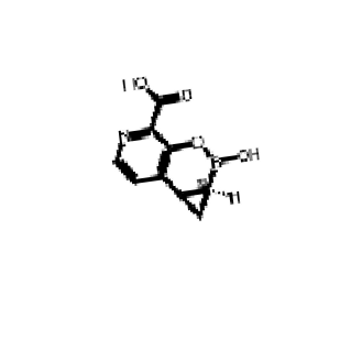 O=C(O)c1nccc2c1OB(O)[C@H]1CC21